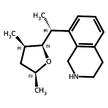 C[C@@H]1C[C@H](C)O[C@@H]1[C@H](C)c1cccc2c1CNCC2